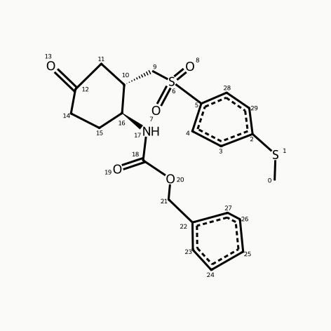 CSc1ccc(S(=O)(=O)C[C@H]2CC(=O)CC[C@@H]2NC(=O)OCc2ccccc2)cc1